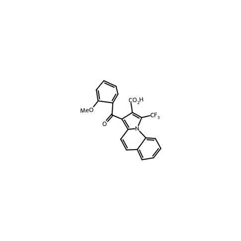 COc1ccccc1C(=O)c1c(C(=O)O)c(C(F)(F)F)n2c1ccc1ccccc12